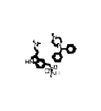 CN1CCN(C(c2ccccc2)c2ccccc2)CC1.CNS(=O)(=O)Cc1ccc2[nH]cc(CCN(C)C)c2c1